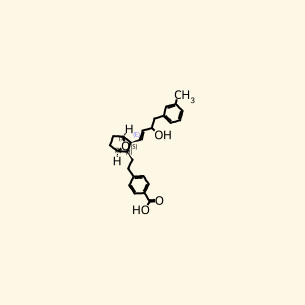 Cc1cccc(CC(O)/C=C/[C@H]2[C@@H](CCc3ccc(C(=O)O)cc3)[C@H]3CC[C@@H]2O3)c1